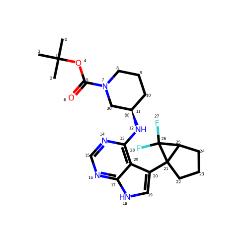 CC(C)(C)OC(=O)N1CCC[C@@H](Nc2ncnc3[nH]cc(C45CCCC4C5(F)F)c23)C1